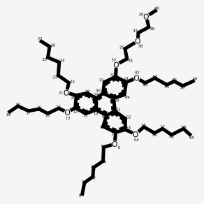 CCCCCCOc1cc2c3cc(OCCCCCC)c(OCCCCCC)cc3c3cc(OCCOCCOC)c(OCCCCCC)cc3c2cc1OCCCCCC